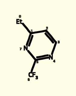 CCc1[c]cnc(C(F)(F)F)n1